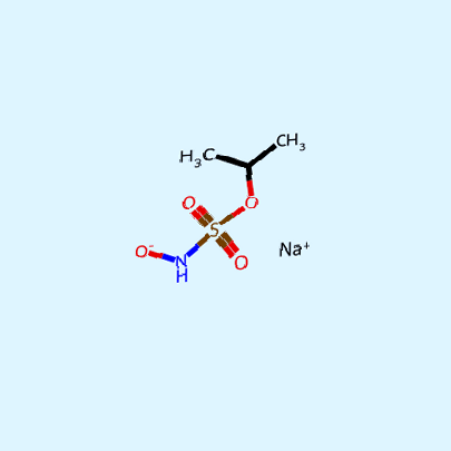 CC(C)OS(=O)(=O)N[O-].[Na+]